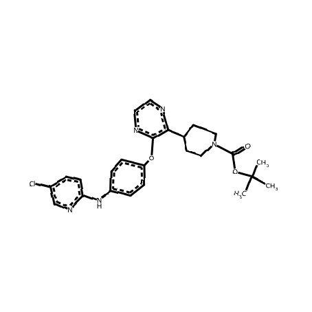 CC(C)(C)OC(=O)N1CCC(c2nccnc2Oc2ccc(Nc3ccc(Cl)cn3)cc2)CC1